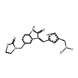 CCN(CC)Cc1c[nH]c(C=C2C(=O)Nc3ccc(CN4CCOC4=O)cc32)c1